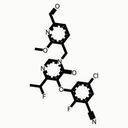 COc1nc(C=O)ccc1Cn1cnc(C(C)F)c(Oc2cc(Cl)cc(C#N)c2F)c1=O